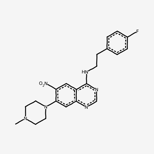 CN1CCN(c2cc3ncnc(NCCc4ccc(F)cc4)c3cc2[N+](=O)[O-])CC1